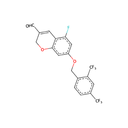 O=CC1=Cc2c(F)cc(OCc3ccc(C(F)(F)F)cc3C(F)(F)F)cc2OC1